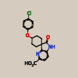 O=C(O)c1ccc2c(n1)C1(CCC(Oc3ccc(Cl)cc3)CC1)C(=O)N2